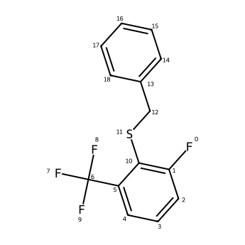 Fc1cccc(C(F)(F)F)c1SCc1ccccc1